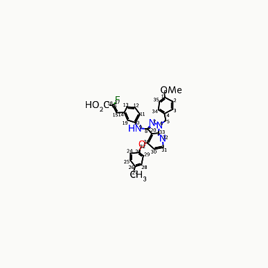 COc1ccc(Cn2nc(Nc3cccc(/C=C(\F)C(=O)O)c3)c3c(Oc4ccc(C)cc4)ccnc32)cc1